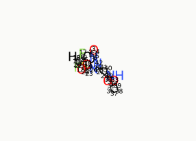 C[C@H]1COCCN1c1cc(C2(S(=O)(=O)c3cc(F)ccc3F)CC2)nc(-c2ccc(NC(=O)Oc3ccccc3)cc2)n1